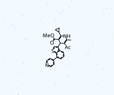 COC(=O)C1=C(C2CC2)NC(C)=C(C(C)=O)C1c1csc2c(-c3ccncc3)cccc12